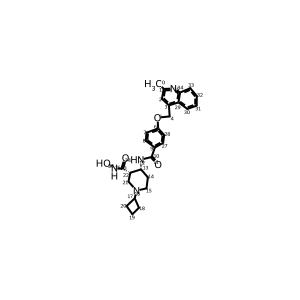 Cc1cc(COc2ccc(C(=O)N[C@@H]3CCN(C4CCC4)C[C@@H]3C(=O)NO)cc2)c2ccccc2n1